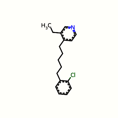 CCc1cnccc1CCCCCc1ccccc1Cl